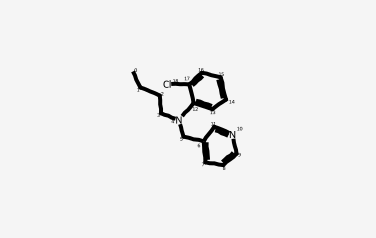 CCCCN(Cc1cccnc1)c1ccccc1Cl